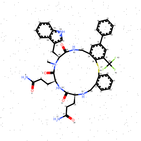 CN1C(=O)[C@H](CCC(N)=O)NC(=O)[C@H](CCC(N)=O)NCc2ccccc2Sc2c(cc(-c3ccccc3)cc2C(F)(F)F)CNC(=O)[C@@H]1Cc1c[nH]c2ccccc12